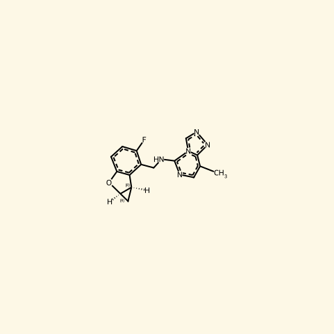 Cc1cnc(NCc2c(F)ccc3c2[C@H]2C[C@H]2O3)n2cnnc12